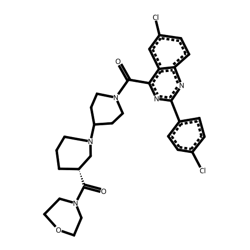 O=C(c1nc(-c2ccc(Cl)cc2)nc2ccc(Cl)cc12)N1CCC(N2CCC[C@@H](C(=O)N3CCOCC3)C2)CC1